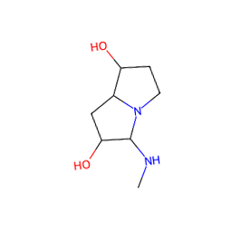 CNC1C(O)CC2C(O)CCN21